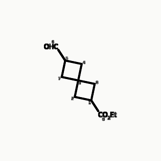 CCOC(=O)C1CC2(CC(C=O)C2)C1